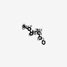 CS(=O)(=O)NCc1cc(F)cc(-c2cncc3[nH]c(-c4n[nH]c5cnc(-c6cncc(OC7CCCCC7)c6)cc45)nc23)c1